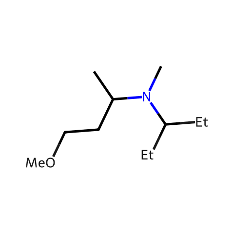 CCC(CC)N(C)C(C)CCOC